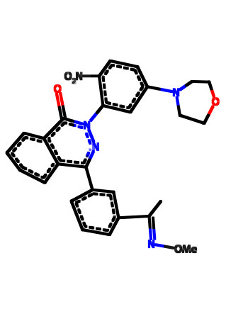 CO/N=C(\C)c1cccc(-c2nn(-c3cc(N4CCOCC4)ccc3[N+](=O)[O-])c(=O)c3ccccc23)c1